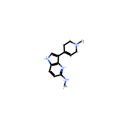 CCCNc1ccc2[nH]cc(C3=CCN(CC)CC3)c2n1